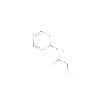 NCC(=O)NC1C=CC=CC1